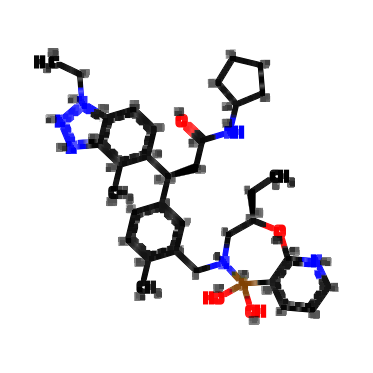 CC[C@@H]1CN(Cc2cc([C@H](CC(=O)NC3CCCC3)c3ccc4c(nnn4CC)c3C)ccc2C)S(O)(O)c2cccnc2O1